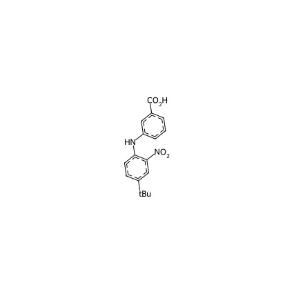 CC(C)(C)c1ccc(Nc2cccc(C(=O)O)c2)c([N+](=O)[O-])c1